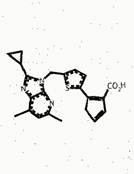 Cc1cc(C)c2nc(C3CC3)n(Cc3ccc(C4=C(C(=O)O)C=CC4)s3)c2n1